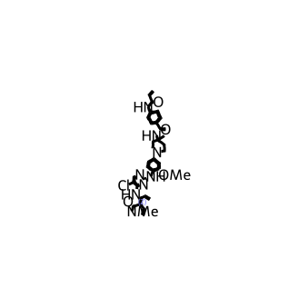 C=CC(=O)Nc1ccc(C(=O)NC2(C)CCN(c3ccc(Nc4ncc(Cl)c(N/C(C=C)=C(/C=C)C(=O)NC)n4)c(OC)c3)CC2)cc1